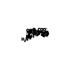 CO/N=C(\C(=O)N[C@@H]1C(=O)N2C(C(=O)[O-])=C(Cn3cc[n+]4ccccc34)CS[C@H]12)c1nsc(N)n1